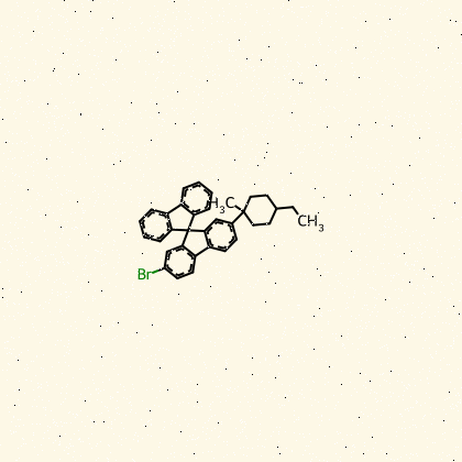 CCC1CCC(C)(c2ccc3c(c2)C2(c4ccccc4-c4ccccc42)c2cc(Br)ccc2-3)CC1